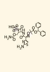 CC(C)(ON=C(C(=O)NC1C(=O)N(S(=O)(=O)O)C1COC(N)=O)c1csc(N)n1)C(=O)OC(c1ccccc1)c1ccccc1